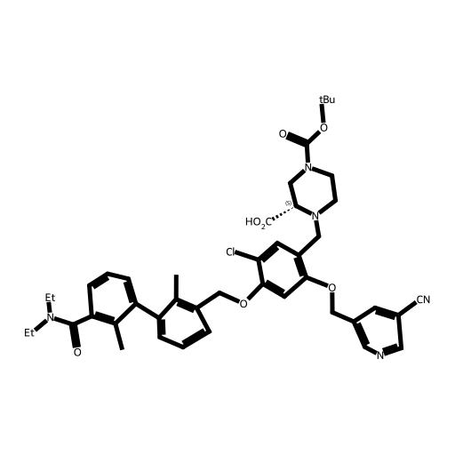 CCN(CC)C(=O)c1cccc(-c2cccc(COc3cc(OCc4cncc(C#N)c4)c(CN4CCN(C(=O)OC(C)(C)C)C[C@H]4C(=O)O)cc3Cl)c2C)c1C